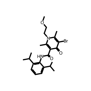 COCCn1c(C)c(Br)c(=O)c(C(=O)Nc2c(C(C)C)cccc2C(C)C)c1C